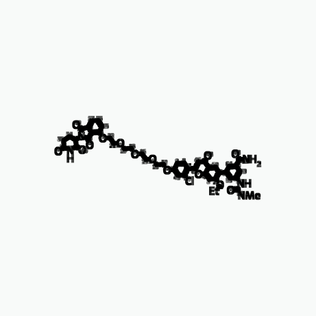 CCOc1cc2oc(-c3ccc(OCCOCCOCCOCCOc4cccc5c4C(=O)N(C4CCC(=O)NC4=O)C5=O)cc3Cl)cc(=O)c2cc1-c1cc(NC(=O)NC)cc(C(N)=O)c1